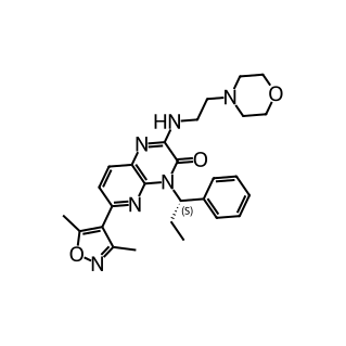 CC[C@@H](c1ccccc1)n1c(=O)c(NCCN2CCOCC2)nc2ccc(-c3c(C)noc3C)nc21